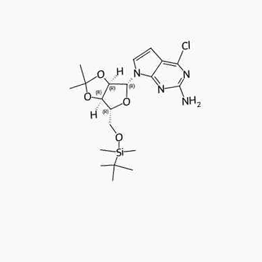 CC1(C)O[C@@H]2[C@H](O1)[C@@H](CO[Si](C)(C)C(C)(C)C)O[C@H]2n1ccc2c(Cl)nc(N)nc21